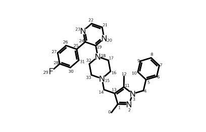 Cc1nn(Cc2ccccc2)c(C)c1CN1CCN(c2nccnc2-c2ccc(F)cc2)CC1